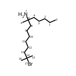 CCCCCC(C)(N)CCCCCCC(C)(C)Br